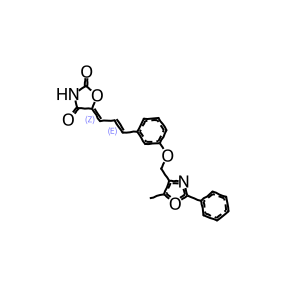 Cc1oc(-c2ccccc2)nc1COc1cccc(/C=C/C=C2\OC(=O)NC2=O)c1